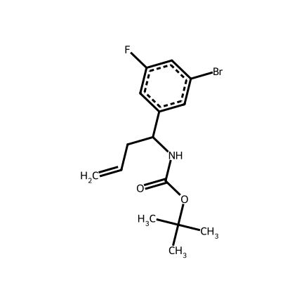 C=CCC(NC(=O)OC(C)(C)C)c1cc(F)cc(Br)c1